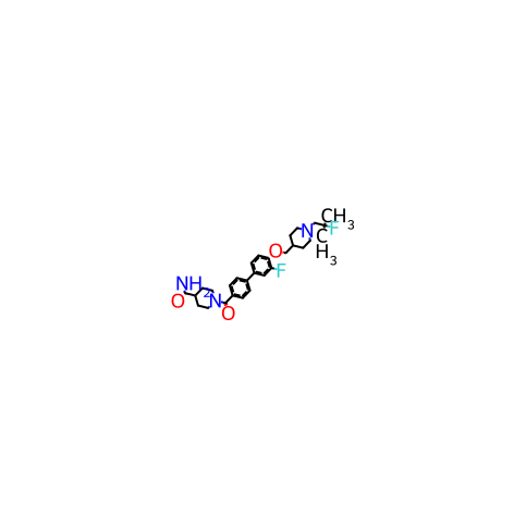 CC(C)(F)CN1CCC(COc2ccc(-c3ccc(C(=O)N4CCC(C(N)=O)CC4)cc3)cc2F)CC1